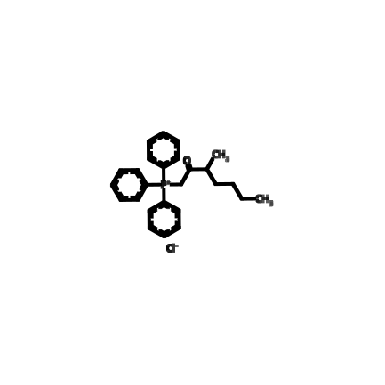 CCCCC(C)C(=O)C[P+](c1ccccc1)(c1ccccc1)c1ccccc1.[Cl-]